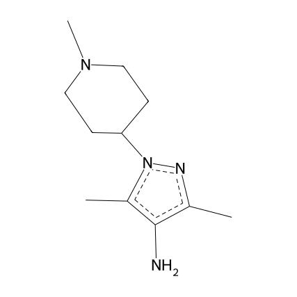 Cc1nn(C2CCN(C)CC2)c(C)c1N